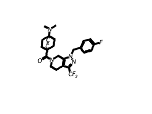 CN(C)C12CCC(C(=O)N3CCc4c(C(F)(F)F)nn(Cc5ccc(F)cc5)c4C3)(CC1)CC2